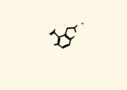 CCOC1Cc2c(ccc(O)c2C(=O)OC)O1